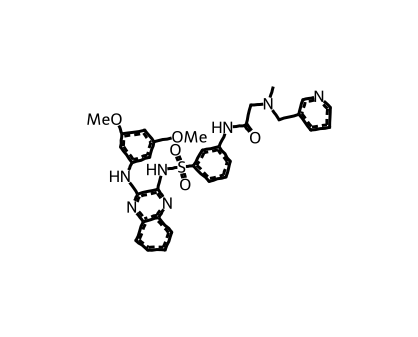 COc1cc(Nc2nc3ccccc3nc2NS(=O)(=O)c2cccc(NC(=O)CN(C)Cc3cccnc3)c2)cc(OC)c1